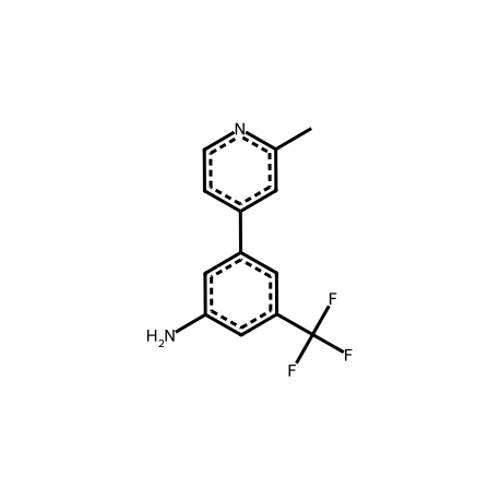 Cc1cc(-c2cc(N)cc(C(F)(F)F)c2)ccn1